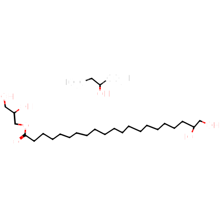 O=C(CCCCCCCCCCCCCCCCCCC(O)CO)OCC(O)CO.O=C(O)CC(O)C(=O)O